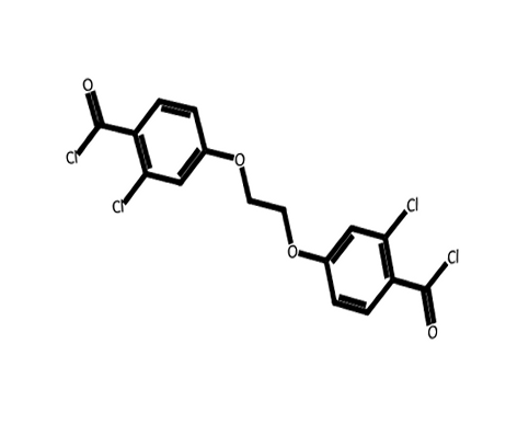 O=C(Cl)c1ccc(OCCOc2ccc(C(=O)Cl)c(Cl)c2)cc1Cl